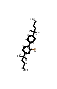 CCC(C)(CCCC(C)C)c1ccc(-c2ccc(C(C)(CC)CCCC(C)C)cc2Br)cc1